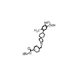 COc1cc(N2CCC3(CC2)CN(CC2CCN(C(=O)OC(C)(C)C)CC2)C3)c(C)cc1[N+](=O)[O-]